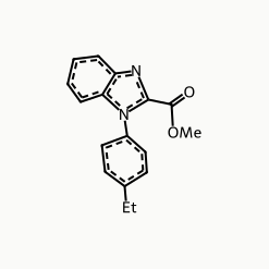 CCc1ccc(-n2c(C(=O)OC)nc3ccccc32)cc1